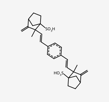 C=C1C2CCC(S(=O)(=O)O)(C2)C1(C)C=Cc1ccc(C=CC2(C)C(=C)C3CCC2(S(=O)(=O)O)C3)cc1